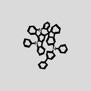 c1ccc(-c2ccc(N(c3ccccc3)c3ccc4c(c3)-c3ccccc3C43c4ccccc4-n4c5ccccc5c5c4c3cc3c4ccccc4n(-c4ccccc4)c35)cc2)cc1